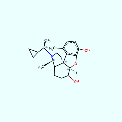 Cc1ccc(O)c2c1[C@]13CCN([C@H](C)C4CC4)[C@H](C)C1CCC(O)[C@@H]3O2